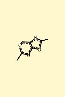 Cc1ncc2nc(C)oc2n1